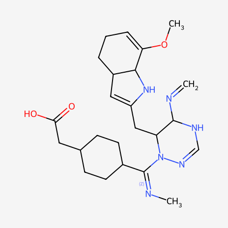 C=NC1NC=NN(/C(=N\C)C2CCC(CC(=O)O)CC2)C1CC1=CC2CCC=C(OC)C2N1